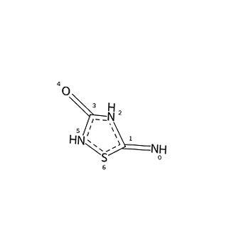 N=c1[nH]c(=O)[nH]s1